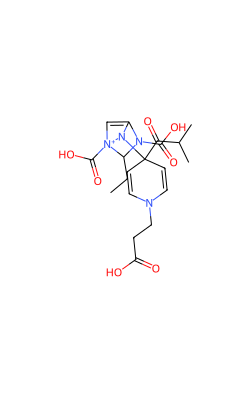 CCC1N(C(=O)O)C2=C[N+]1(C(=O)O)N2C1(C(=O)C(C)C)C=CN(CCC(=O)O)C=C1